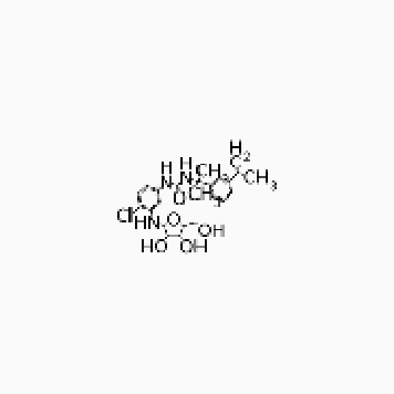 C=C(C)c1cccc(C(C)(C)NC(=O)Nc2ccc(Cl)c(NC3OC(CO)[C@H](O)[C@H]3O)c2)c1